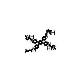 CC(C)=C/C=C(C)/C=N/c1ccc(-c2cc(-c3ccc(/N=C/c4ccc(C)[nH]4)cc3)c(-c3ccc(/N=C/c4ccc(C)[nH]4)cc3)cc2C2C=CC(/N=C/c3ccc(C)[nH]3)=CC2)cc1